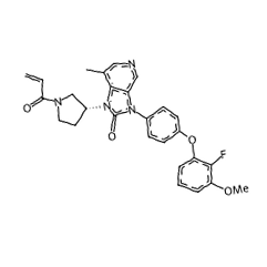 C=CC(=O)N1CC[C@@H](n2c(=O)n(-c3ccc(Oc4cccc(OC)c4F)cc3)c3cncc(C)c32)C1